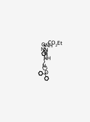 CCOC(=O)CNC(=O)c1nc2ccc(NCCCN3CCC(OC(c4ccccc4)c4ccccc4)CC3)nn2n1